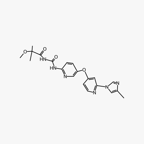 COC(C)(C)C(=O)NC(=O)Nc1ccc(Oc2ccnc(-n3cnc(C)c3)c2)cn1